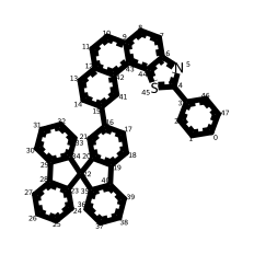 c1ccc(-c2nc3ccc4ccc5ccc(-c6ccc7c(c6)C6(c8ccccc8-c8ccccc86)c6ccccc6-7)cc5c4c3s2)cc1